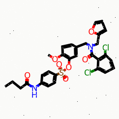 CCCC(=O)Nc1ccc(S(=O)(=O)Oc2cc(CN(Cc3ccco3)C(=O)c3c(Cl)cccc3Cl)ccc2OC)cc1